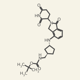 CC(C)(C)OC(=O)NC[C@@H]1CC[C@@H](Nc2cccc3c2CN(C2CCC(=O)NC2=O)C3=O)C1